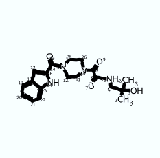 CC(C)(O)CNC(=O)C(=O)N1CCN(C(=O)c2cc3ccccc3[nH]2)CC1